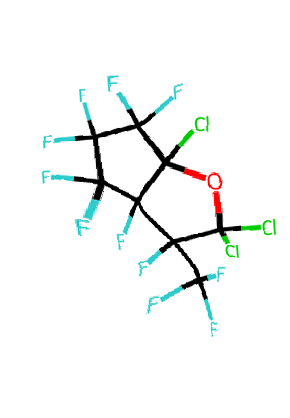 FC(F)(F)C1(F)C(Cl)(Cl)OC2(Cl)C(F)(F)C(F)(F)C(F)(F)C21F